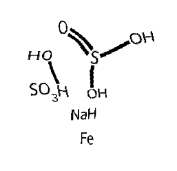 O=S(=O)(O)O.O=S(O)O.[Fe].[NaH]